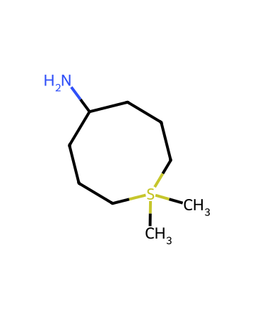 CS1(C)CCCC(N)CCC1